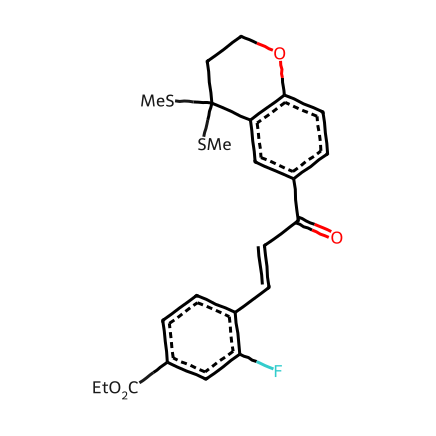 CCOC(=O)c1ccc(C=CC(=O)c2ccc3c(c2)C(SC)(SC)CCO3)c(F)c1